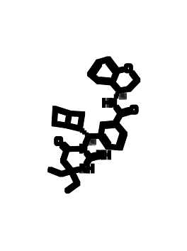 CCC1(CC)CC(=O)N([C@@H](c2cccc(C(=O)N[C@H]3CCOc4ccccc43)c2)C2CC3CCC32)C(=N)N1